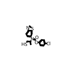 CC(CS)N(C(=O)Oc1ccc(Cl)cc1)c1ccc2ncsc2c1